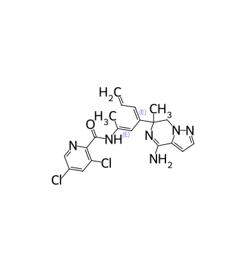 C=C/C=C(\C=C(/C)NC(=O)c1ncc(Cl)cc1Cl)C1(C)Cn2nccc2C(N)=N1